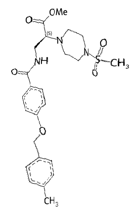 COC(=O)[C@H](CNC(=O)c1ccc(OCc2ccc(C)cc2)cc1)N1CCN(S(C)(=O)=O)CC1